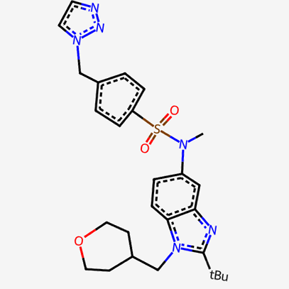 CN(c1ccc2c(c1)nc(C(C)(C)C)n2CC1CCOCC1)S(=O)(=O)c1ccc(Cn2ccnn2)cc1